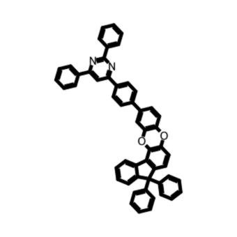 c1ccc(-c2cc(-c3ccc(-c4ccc5c(c4)Oc4c(ccc6c4-c4ccccc4C6(c4ccccc4)c4ccccc4)O5)cc3)nc(-c3ccccc3)n2)cc1